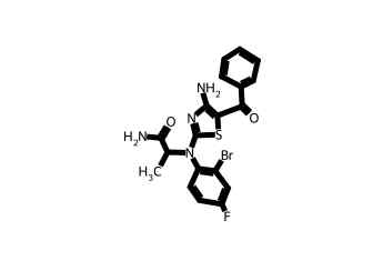 CC(C(N)=O)N(c1nc(N)c(C(=O)c2ccccc2)s1)c1ccc(F)cc1Br